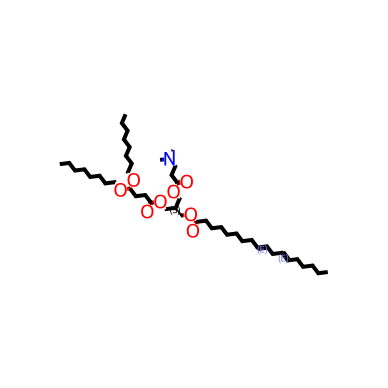 CCCCC/C=C/C/C=C/CCCCCCCC(=O)OC[C@@H](COC(=O)CCC(OCCCCCCCC)OCCCCCCCC)COC(=O)CCN(C)C